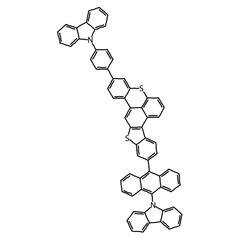 c1ccc2c(-n3c4ccccc4c4ccccc43)c3ccccc3c(-c3ccc4c(c3)sc3cc5c6c(cccc6c34)Sc3cc(-c4ccc(-n6c7ccccc7c7ccccc76)cc4)ccc3-5)c2c1